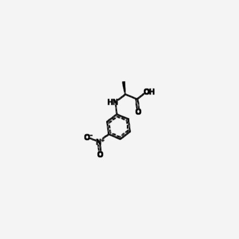 C[C@H](Nc1cccc([N+](=O)[O-])c1)C(=O)O